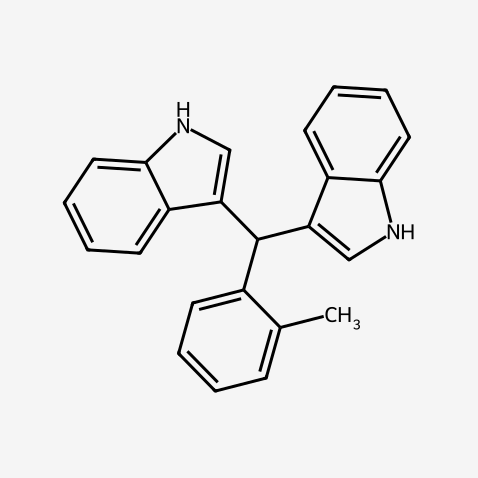 Cc1ccccc1C(c1c[nH]c2ccccc12)c1c[nH]c2ccccc12